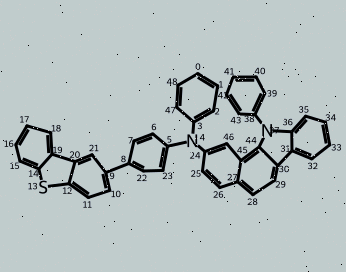 c1ccc(N(c2ccc(-c3ccc4sc5ccccc5c4c3)cc2)c2ccc3ccc4c5ccccc5n(-c5ccccc5)c4c3c2)cc1